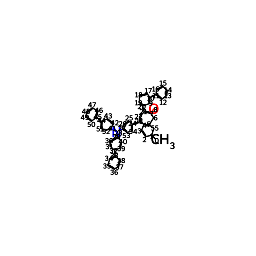 CC1C=CC2=C(Cc3oc4c(-c5ccccc5)cccc4c3C=C2c2ccc(N(C3=CCC(c4ccccc4)C=C3)C3C=CC(c4ccccc4)=CC3)cc2)C1